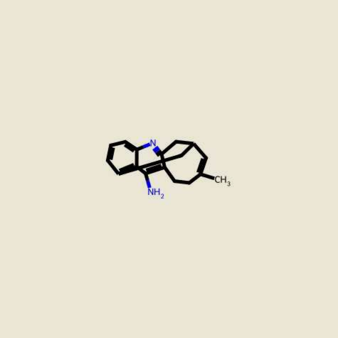 CC1=CC2Cc3nc4cccc(c4c(N)c3CC1)C2